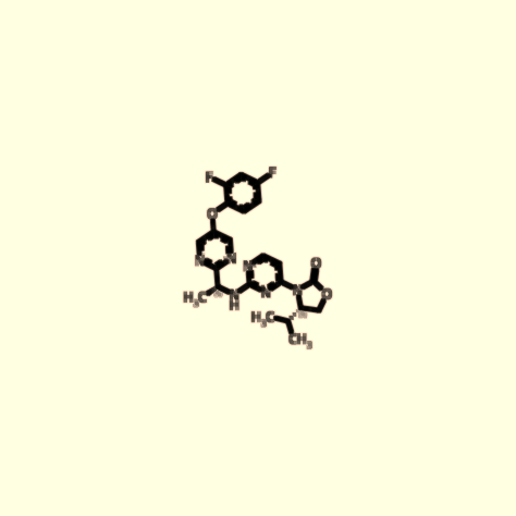 CC(C)[C@H]1COC(=O)N1c1ccnc(N[C@@H](C)c2ncc(Oc3ccc(F)cc3F)cn2)n1